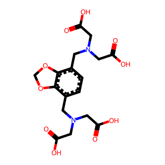 O=C(O)CN(CC(=O)O)Cc1ccc(CN(CC(=O)O)CC(=O)O)c2c1OCO2